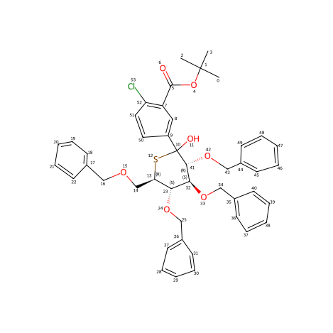 CC(C)(C)OC(=O)c1cc(C2(O)S[C@H](COCc3ccccc3)[C@@H](OCc3ccccc3)[C@H](OCc3ccccc3)[C@H]2OCc2ccccc2)ccc1Cl